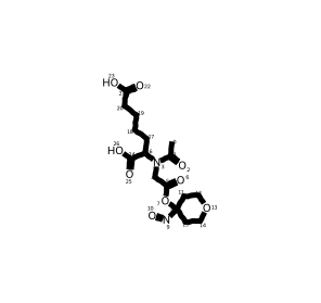 CC(=O)N(CC(=O)OC1(N=O)CCOCC1)C(CCCCC(=O)O)C(=O)O